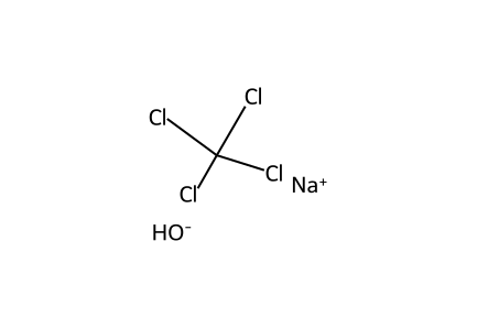 ClC(Cl)(Cl)Cl.[Na+].[OH-]